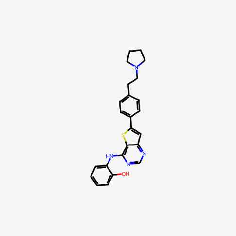 Oc1ccccc1Nc1ncnc2cc(-c3ccc(CCN4CCCC4)cc3)sc12